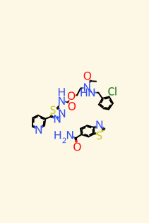 CC(=O)N(CCOC(=O)Nc1nnc(-c2cccnc2)s1)NCc1ccccc1Cl.NC(=O)c1ccc2ncsc2c1